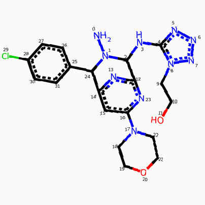 NN1C(Nc2nnnn2CCO)c2nc(cc(N3CCOCC3)n2)C1c1ccc(Cl)cc1